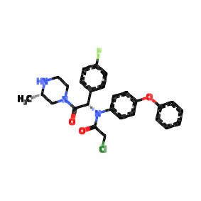 C[C@H]1CN(C(=O)[C@H](c2ccc(F)cc2)N(C(=O)CCl)c2ccc(Oc3ccccc3)cc2)CCN1